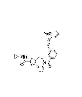 C\C=C/C(=N\C=C\c1cccc(C(=O)N2CCc3cc(C(=O)NC4CC4)sc3-c3ccccc32)c1)OC